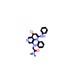 CN(C)C(=O)CNc1cncc2c(=O)cc(Nc3ccccc3)n(-c3ccccc3)c12